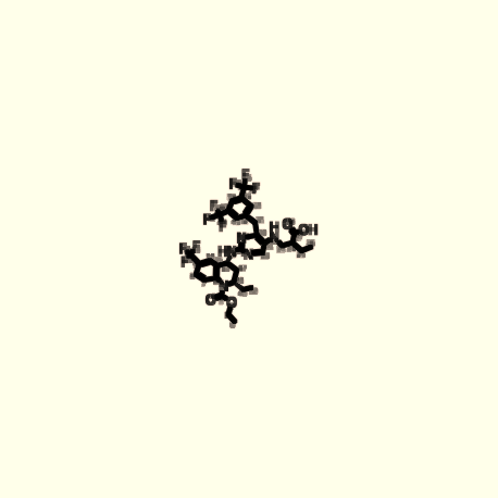 CCOC(=O)N1c2ccc(C(F)(F)F)cc2[C@@H](Nc2ncc(NCC(CC)C(=O)O)c(Cc3cc(C(F)(F)F)cc(C(F)(F)F)c3)n2)C[C@H]1CC